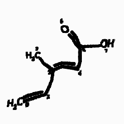 C=C/C(C)=C/C(=O)O